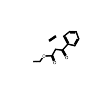 C=C.CCOC(=O)CC(=O)c1ccccc1